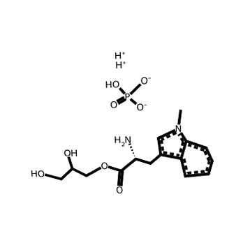 Cn1cc(C[C@@H](N)C(=O)OCC(O)CO)c2ccccc21.O=P([O-])([O-])O.[H+].[H+]